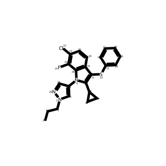 CCCn1cc(-n2c(C3CC3)c(Sc3ccccc3)c3ccc(Cl)c(F)c32)cn1